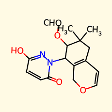 CC1(C)CC2=C(COC=C2)C(n2nc(O)ccc2=O)C1OC=O